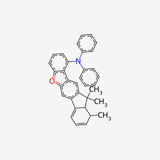 CC1C=CC=C2c3cc4oc5cccc(N(c6ccccc6)c6ccccc6)c5c4cc3C(C)(C)C21